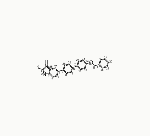 Cc1nc2ccc(-c3ccc(-c4ccc(OCc5ccccc5)cc4)cc3)cc2[nH]1